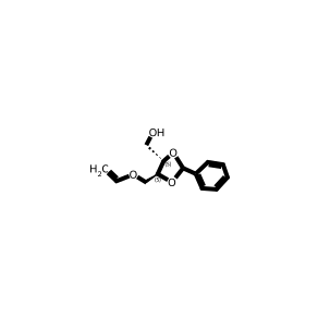 C=COC[C@@H]1OC(c2ccccc2)O[C@H]1CO